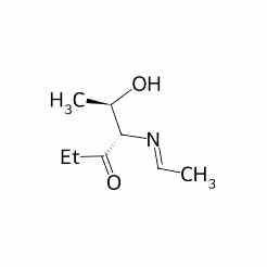 C/C=N/[C@H](C(=O)CC)[C@@H](C)O